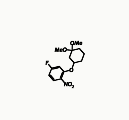 COC1(OC)CCCC(Oc2cc(F)ccc2[N+](=O)[O-])C1